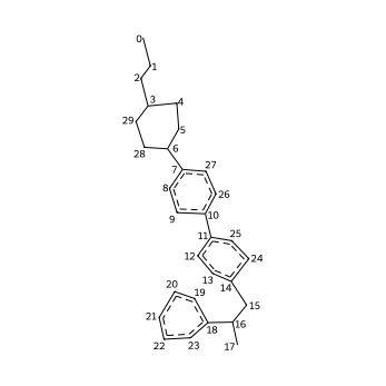 CCCC1CCC(c2ccc(-c3ccc(CC(C)c4ccccc4)cc3)cc2)CC1